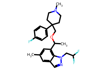 Cc1cc(C(C)OCC2(c3ccc(F)cc3)CCN(C)CC2)c2c(cnn2CC(F)F)c1